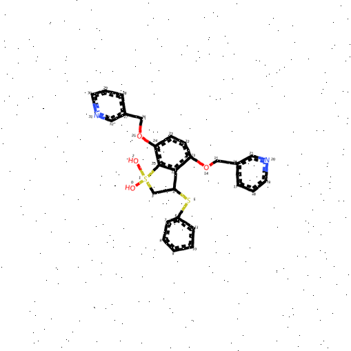 OS1(O)CC(Sc2ccccc2)c2c(OCc3cccnc3)ccc(OCc3cccnc3)c21